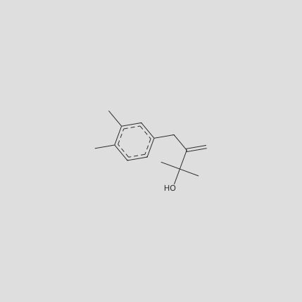 C=C(Cc1ccc(C)c(C)c1)C(C)(C)O